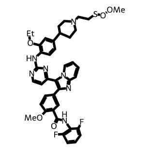 CCOc1cc(C2CCN(CCSOOC)CC2)ccc1Nc1nccc(-c2c(-c3ccc(OC)c(C(=O)Nc4c(F)cccc4F)c3)nc3ccccn23)n1